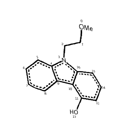 COCCn1c2ccccc2c2c(O)cccc21